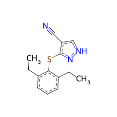 CCc1cccc(CC)c1Sc1n[nH]cc1C#N